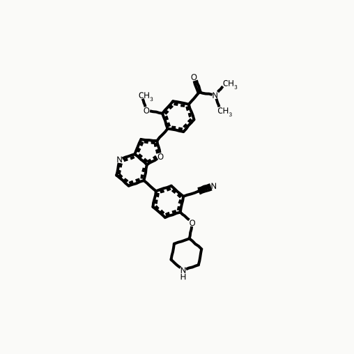 COc1cc(C(=O)N(C)C)ccc1-c1cc2nccc(-c3ccc(OC4CCNCC4)c(C#N)c3)c2o1